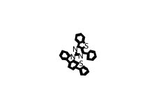 c1ccc(-c2nc(-n3c4ccccc4c4ccc5c6ccccc6sc5c43)nc3c2sc2ccccc23)cc1